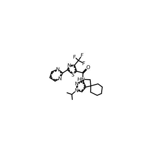 CC(C)n1cc(C2(CNC(=O)c3sc(-c4ncccn4)nc3C(F)(F)F)CCCCC2)cn1